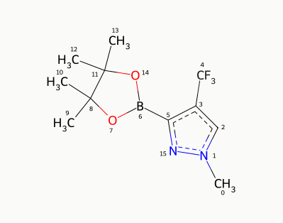 Cn1cc(C(F)(F)F)c(B2OC(C)(C)C(C)(C)O2)n1